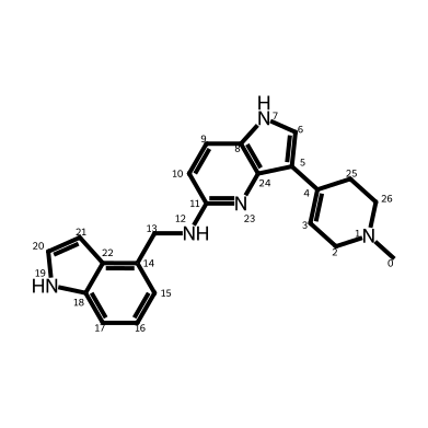 CN1CC=C(c2c[nH]c3ccc(NCc4cccc5[nH]ccc45)nc23)CC1